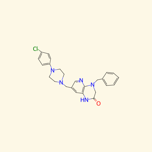 O=C1CN(Cc2ccccc2)c2ncc(CN3CCN(c4ccc(Cl)cc4)CC3)cc2N1